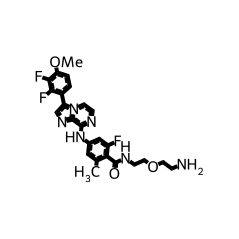 COc1ccc(-c2cnc3c(Nc4cc(C)c(C(=O)NCCOCCN)c(F)c4)nccn23)c(F)c1F